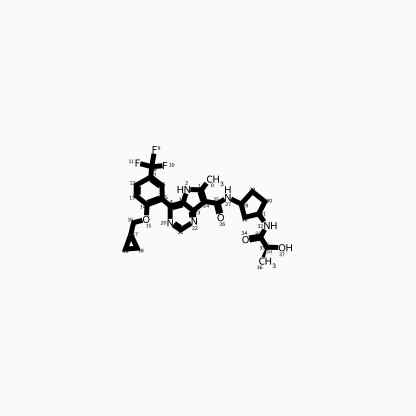 Cc1[nH]c2c(-c3cc(C(F)(F)F)ccc3OCC3CC3)ncnc2c1C(=O)NC1CCC(NC(=O)[C@H](C)O)C1